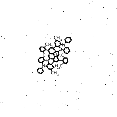 Cc1cc2c3c(c1)N(c1ccccc1)c1ccccc1B3c1cc3c(-c4c(C)cccc4C)cc4c5c(cc6c(-c7c(C)cccc7C)cc-2c1c6c35)B1c2ccccc2N(c2ccccc2)c2cc(C)cc-4c21